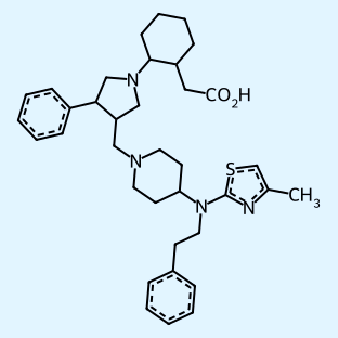 Cc1csc(N(CCc2ccccc2)C2CCN(CC3CN(C4CCCCC4CC(=O)O)CC3c3ccccc3)CC2)n1